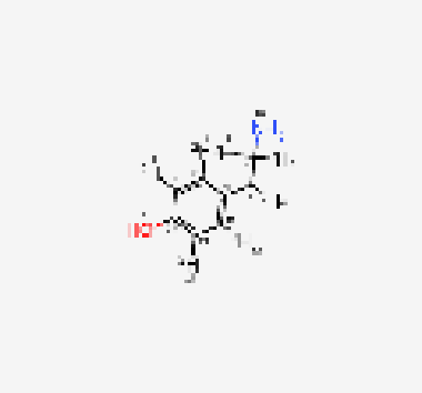 [2H]c1c([2H])c(C([2H])C([2H])([2H])N)c([2H])c([2H])c1O